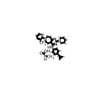 CNC(=O)O.FC(F)(F)c1cccnc1N1CCc2nc(N3CCCCC3)nc(Nc3ccc(C4CC4)cc3)c2CC1